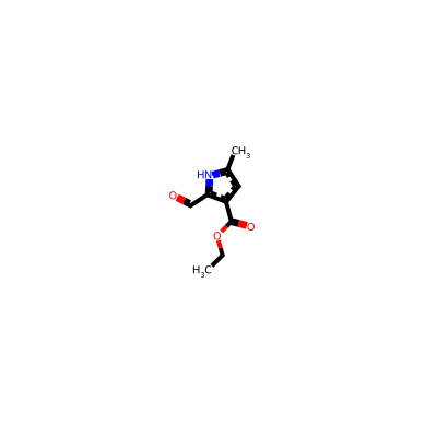 CCOC(=O)c1cc(C)[nH]c1C=O